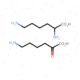 NCCCCC(=O)C(=O)O.NCCCCC(N)C(=O)O